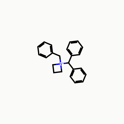 c1ccc(C[N+]2(C(c3ccccc3)c3ccccc3)CCC2)cc1